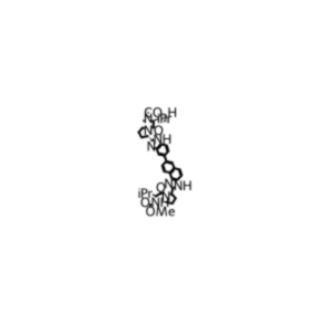 COC(=O)N[C@H](C(=O)N1CCCC1c1nc2c(ccc3cc(-c4ccc5[nH]c([C@@H]6CCCN6C(=O)[C@H](C(C)C)N(C)C(=O)O)nc5c4)ccc32)[nH]1)C(C)C